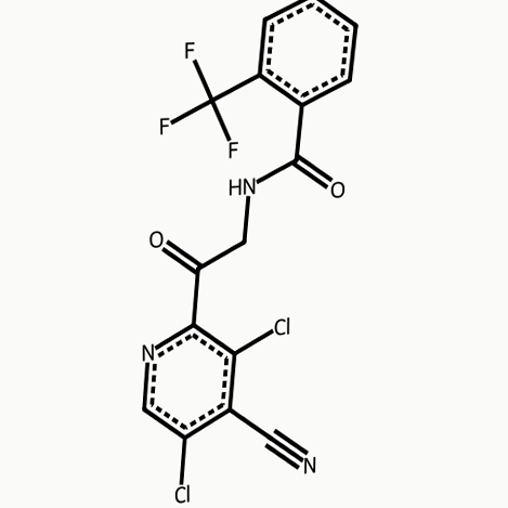 N#Cc1c(Cl)cnc(C(=O)CNC(=O)c2ccccc2C(F)(F)F)c1Cl